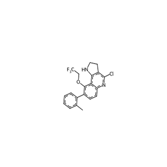 Cc1ccccc1-c1ccc2nc(Cl)c3c(c2c1OCC(F)(F)F)NCC3